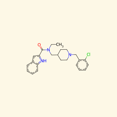 CCN(CC1CCN(Cc2ccccc2Cl)CC1)C(=O)c1cc2ccccc2[nH]1